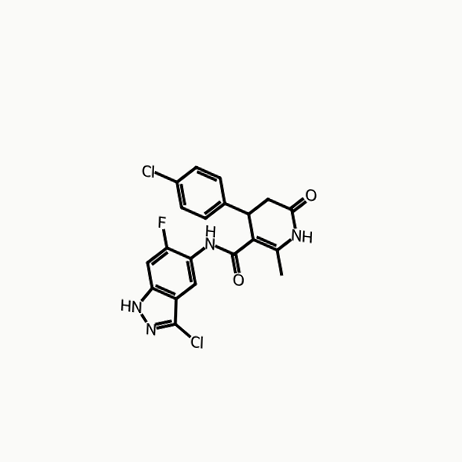 CC1=C(C(=O)Nc2cc3c(Cl)n[nH]c3cc2F)C(c2ccc(Cl)cc2)CC(=O)N1